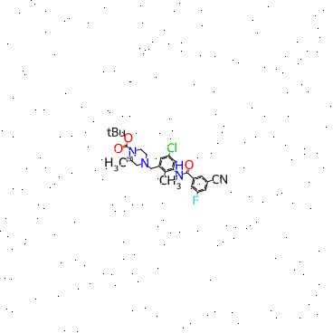 Cc1c(CN2CCN(C(=O)OC(C)(C)C)[C@@H](C)C2)cc(Cl)cc1NC(=O)c1cc(F)cc(C#N)c1